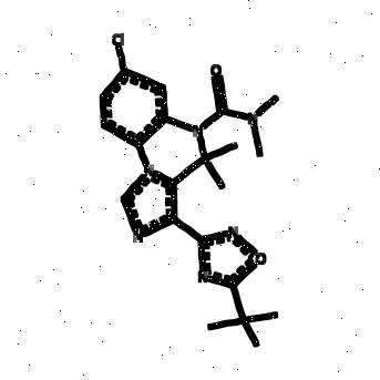 CN(C)C(=O)N1c2cc(Cl)ccc2-n2cnc(-c3noc(C(C)(C)C)n3)c2C1(C)C